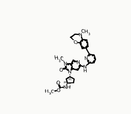 COC(=O)N[C@@H]1CC[C@@H](n2c(=O)n(C)c3cnc(Nc4cccc(-c5ccc6c(c5)OCCN6C)n4)cc32)C1